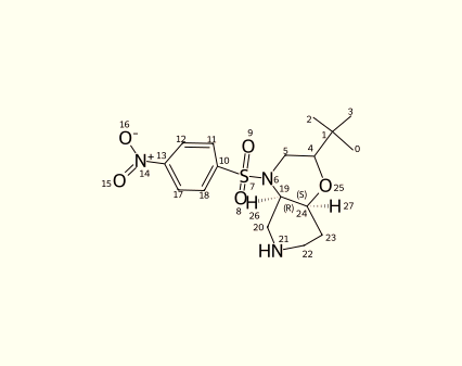 CC(C)(C)C1CN(S(=O)(=O)c2ccc([N+](=O)[O-])cc2)[C@@H]2CNCC[C@@H]2O1